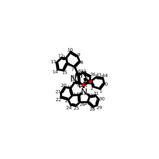 c1ccc(-c2nc(-c3cccc4ccccc34)nc(-c3cccc4ccc5c6ccccc6n(-c6ccccc6)c5c34)n2)cc1